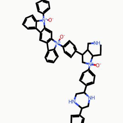 [O-][N+]1(c2ccccc2)c2ccccc2-c2cc3c(cc21)[N+]([O-])(c1ccc(C2C[N+]([O-])(c4ccc(C5CNC(c6ccccc6)CN5)cc4)C4CCNCC24)cc1)c1ccccc1-3